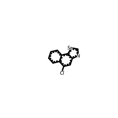 Clc1cc2nc[se]c2c2ccccc12